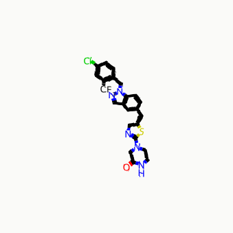 O=C1CN(C2=NCC(=Cc3ccc4c(cnn4Cc4ccc(Cl)cc4C(F)(F)F)c3)S2)CCN1